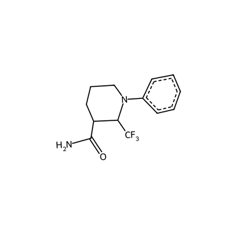 NC(=O)C1CCCN(c2ccccc2)C1C(F)(F)F